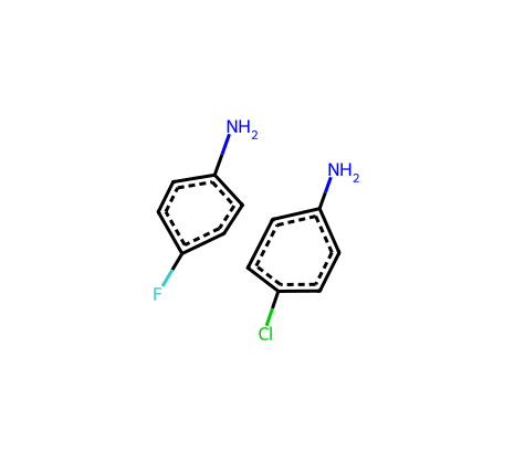 Nc1ccc(Cl)cc1.Nc1ccc(F)cc1